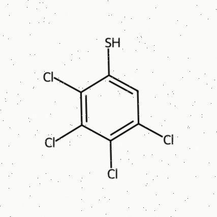 Sc1cc(Cl)c(Cl)c(Cl)c1Cl